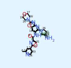 Cc1cc(-c2nc(C(=O)Nc3cc4oc(N5CCOCC5)nc4nc3N3CC[C@H](N)C3)co2)ccn1.Cl